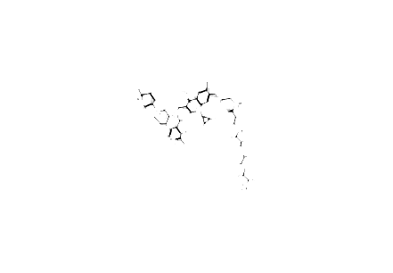 Cc1ccc(N2CCC[C@H](N(Cc3ccnc(C)c3)Cc3cn(C4CC4)c4cc(OCCN(C)C(=O)CCOCCOCCOCCN)c(F)cc4c3=O)C2)cn1